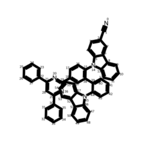 N#Cc1ccc2c(c1)c1ccccc1n2-c1ccc(-c2nc(-c3ccccc3)cc(-c3ccccc3)n2)cc1-c1ccccc1-n1c2ccccc2c2ccccc21